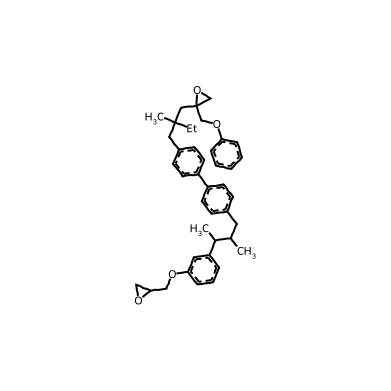 CCC(C)(Cc1ccc(-c2ccc(CC(C)C(C)c3cccc(OCC4CO4)c3)cc2)cc1)CC1(COc2ccccc2)CO1